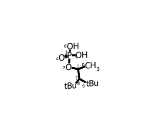 CC(OP(=O)(O)O)C(C(C)(C)C)C(C)(C)C